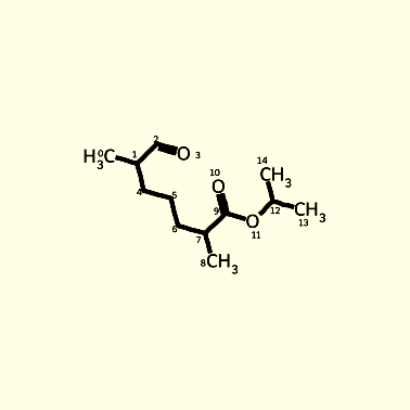 CC(C=O)CCCC(C)C(=O)OC(C)C